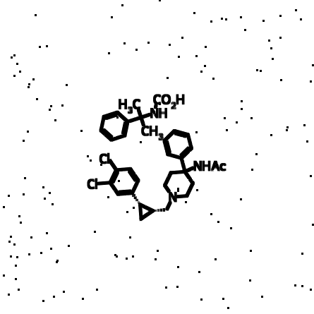 CC(=O)NC1(c2ccccc2)CCN(C[C@@H]2C[C@@H]2c2ccc(Cl)c(Cl)c2)CC1.CC(C)(NC(=O)O)c1ccccc1